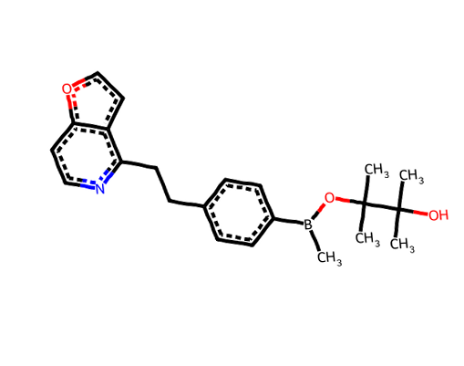 CB(OC(C)(C)C(C)(C)O)c1ccc(CCc2nccc3occc23)cc1